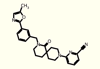 Cc1cnc(-c2cccc(CN3CCCC4(CCN(c5cccc(C#N)n5)CC4)C3=O)c2)o1